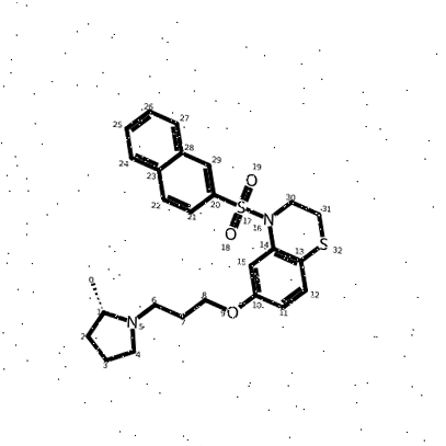 C[C@H]1CCCN1CCCOc1ccc2c(c1)N(S(=O)(=O)c1ccc3ccccc3c1)CCS2